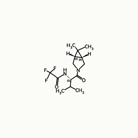 CC(C)[C@H](NC(=O)C(F)(F)F)C(=O)N1C[C@@H]2[C@H](C1)C2(C)C